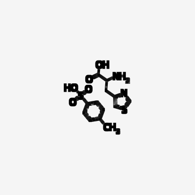 Cc1ccc(S(=O)(=O)O)cc1.NC(Cc1cscn1)C(=O)O